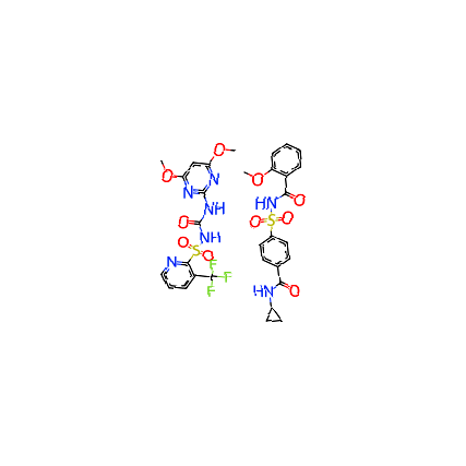 COc1cc(OC)nc(NC(=O)NS(=O)(=O)c2ncccc2C(F)(F)F)n1.COc1ccccc1C(=O)NS(=O)(=O)c1ccc(C(=O)NC2CC2)cc1